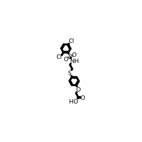 O=C(O)COc1ccc(SCCNS(=O)(=O)c2cc(Cl)ccc2Cl)cc1